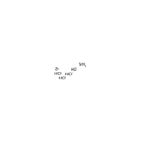 Cl.Cl.Cl.Cl.[SnH2].[Zr]